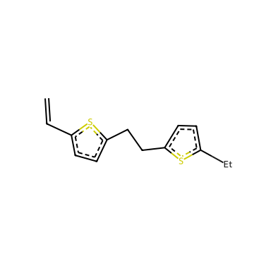 C=Cc1ccc(CCc2ccc(CC)s2)s1